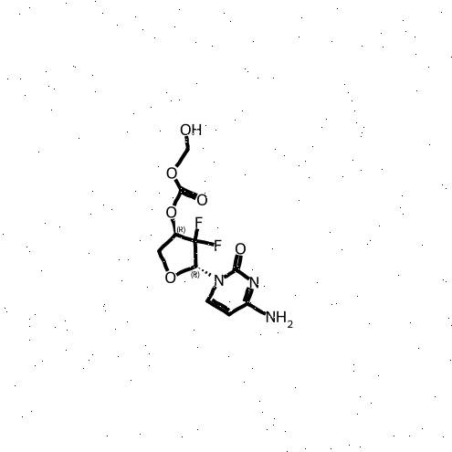 Nc1ccn([C@@H]2OC[C@@H](OC(=O)OCO)C2(F)F)c(=O)n1